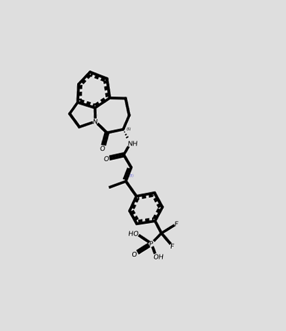 C/C(=C\C(=O)N[C@H]1CCc2cccc3c2N(CC3)C1=O)c1ccc(C(F)(F)P(=O)(O)O)cc1